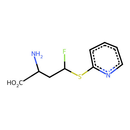 NC(CC(F)Sc1ccccn1)C(=O)O